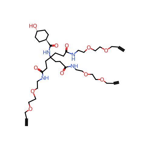 C#CCOCCOCCNC(=O)CCC(CCC(=O)NCCOCCOCC#C)(CCC(=O)NCCOCCOCC#C)NC(=O)[C@H]1CC[C@H](O)CC1